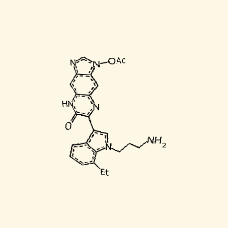 CCc1cccc2c(-c3nc4cc5c(cc4[nH]c3=O)ncn5OC(C)=O)cn(CCCN)c12